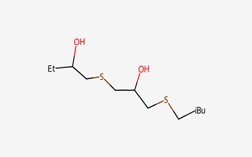 CCC(C)CSCC(O)CSCC(O)CC